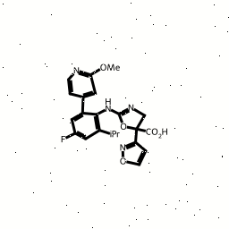 COc1cc(-c2cc(F)cc(C(C)C)c2NC2=NCC(C(=O)O)(c3ccon3)O2)ccn1